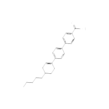 CCCCCC1CC=C(c2ccc(-c3ccc(C(=O)O)cc3)cc2)CC1